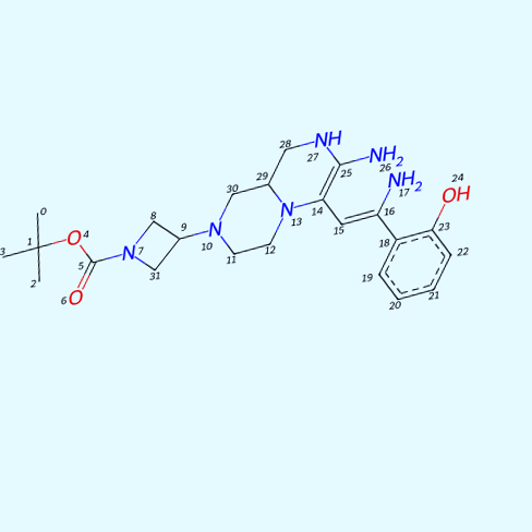 CC(C)(C)OC(=O)N1CC(N2CCN3C(/C=C(\N)c4ccccc4O)=C(N)NCC3C2)C1